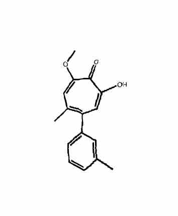 COc1cc(C)c(-c2cccc(C)c2)cc(O)c1=O